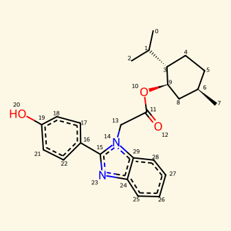 CC(C)[C@@H]1CC[C@@H](C)C[C@H]1OC(=O)Cn1c(-c2ccc(O)cc2)nc2ccccc21